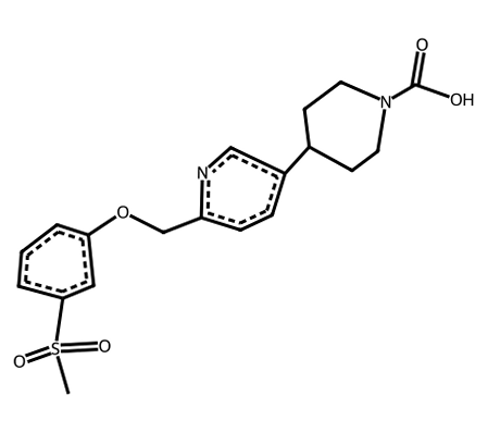 CS(=O)(=O)c1cccc(OCc2ccc(C3CCN(C(=O)O)CC3)cn2)c1